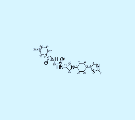 CC1=NCC(C2CCC(N3CC(NC(=O)CNC(=O)c4cccc(C)c4)C3)CC2)S1